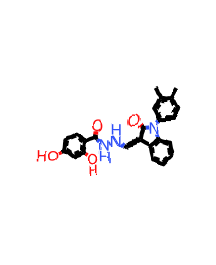 Cc1ccc(N2C(=O)C(=CNNC(=O)c3ccc(O)cc3O)c3ccccc32)cc1C